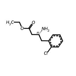 CCOC(=O)C[C@H](N)Cc1ccccc1Cl